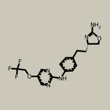 NC1=N[C@@H](CCc2ccc(Nc3ncc(OCC(F)(F)F)cn3)cc2)CO1